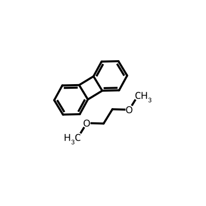 COCCOC.c1ccc2c(c1)-c1ccccc1-2